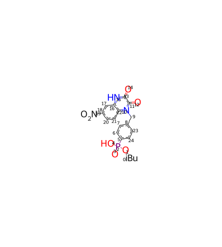 CCC(C)OP(=O)(O)c1ccc(Cn2c(=O)c(=O)[nH]c3cc([N+](=O)[O-])ccc32)cc1